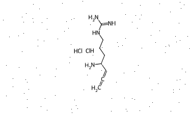 C=C=CC(N)CCCNC(=N)N.Cl.Cl